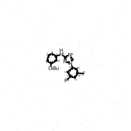 CC(C)COc1cccc(Nc2ncn(-c3cc(F)cc(F)c3)n2)c1